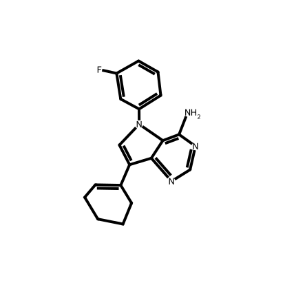 Nc1ncnc2c(C3=CCCCC3)cn(-c3cccc(F)c3)c12